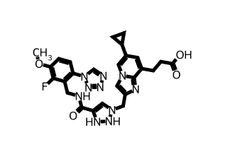 COc1ccc(-n2cnnn2)c(CNC(=O)C2=CN(Cc3cn4cc(C5CC5)cc(CCC(=O)O)c4n3)NN2)c1F